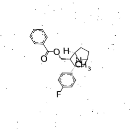 CN1C2CC[C@@H]1[C@H](COC(=O)c1ccccc1)[C@@H](c1ccc(F)cc1)C2